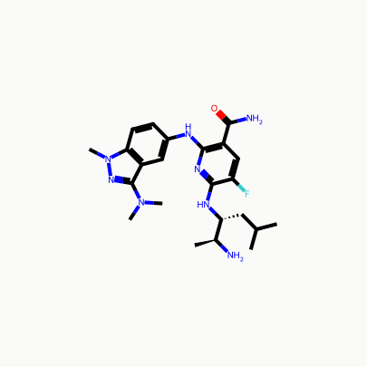 CC(C)C[C@@H](Nc1nc(Nc2ccc3c(c2)c(N(C)C)nn3C)c(C(N)=O)cc1F)[C@H](C)N